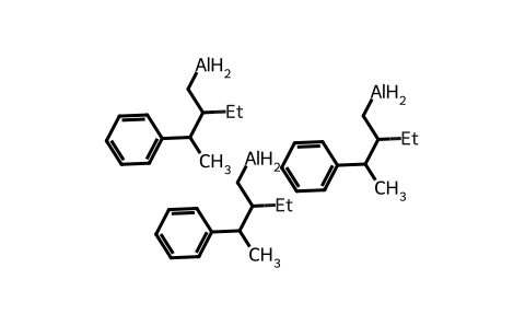 CCC([CH2][AlH2])C(C)c1ccccc1.CCC([CH2][AlH2])C(C)c1ccccc1.CCC([CH2][AlH2])C(C)c1ccccc1